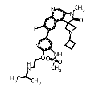 CC(C)NCCOc1ncc(-c2cc3c4c(cnc3cc2F)N(C)C(=O)C42CN(C3CCC3)C2)cc1NS(C)(=O)=O